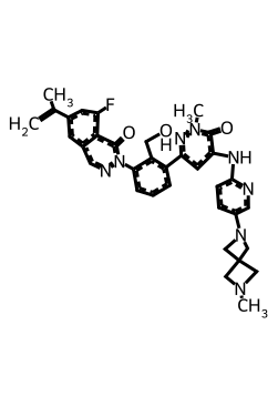 C=C(C)c1cc(F)c2c(=O)n(-c3cccc(-c4cc(Nc5ccc(N6CC7(CN(C)C7)C6)cn5)c(=O)n(C)n4)c3CO)ncc2c1